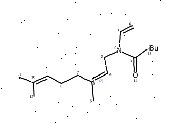 C=CN(C/C=C(/C)CCC=C(C)C)C(=O)C(C)CC